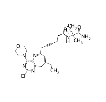 CCC1=CC(CC#CCC[C@@H](CC)NC(C)(C)C(N)=O)=Nc2c(nc(Cl)nc2N2CCOCC2)C1